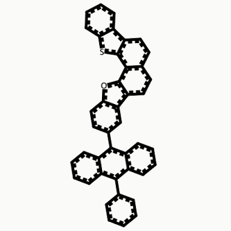 c1ccc(-c2c3ccccc3c(-c3ccc4oc5c(ccc6ccc7c8ccccc8sc7c65)c4c3)c3ccccc23)cc1